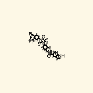 CC1(C)C(=O)N(c2ccc(C#N)c(C(F)(F)F)c2)C(=S)N1c1ccc(CNC(=O)c2cnc3[nH]ccc3c2)c(F)c1